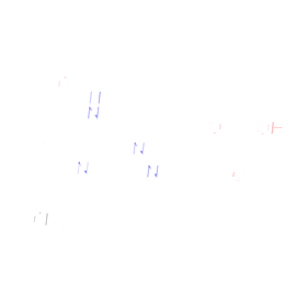 Cc1cccc2c(=O)[nH]c(-n3cc(OC(=O)O)cn3)nc12